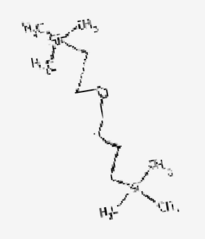 C[Si](C)(C)CC[CH]OCC[Si](C)(C)C